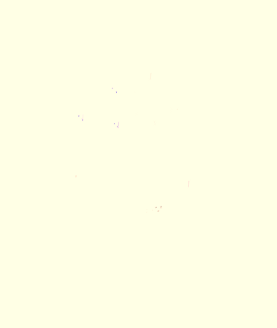 CCc1nc2ncc(C(F)(F)F)cn2c1C(=O)c1ccc(OC)c(I)c1